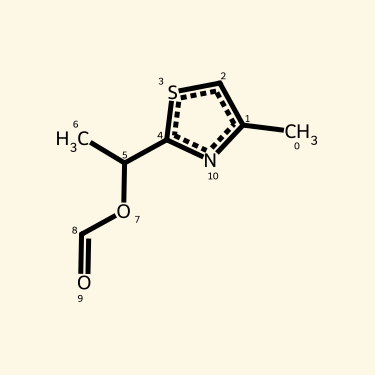 Cc1csc(C(C)OC=O)n1